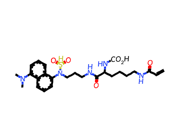 C=CC(=O)NCCCCC(NC(=O)O)C(=O)NCCCN(c1cccc2c(N(C)C)cccc12)[SH](=O)=O